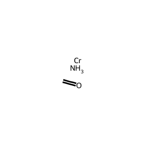 C=O.N.[Cr]